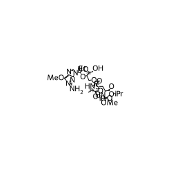 CCC(OC(COP(=O)(N[C@H](C)C(=O)OC(C)C)SCC(NC(=O)OC)C(=O)OC(C)C)[C@@H](O)CO)n1cnc2c(OC)nc(N)nc21